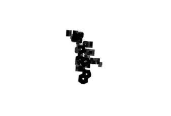 Nc1nc(N[C@H]2CCc3ccccc32)c2ncn([C@@H]3O[C@H](COS(N)(=O)=O)[C@@H](O)[C@H]3O)c2n1